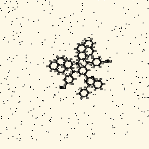 CC(C)(C)c1ccc(N2c3cc(-c4nc(-c5ccccc5)c5ccccc5n4)cc4c3B(c3cc5ccc6cccc7ccc(c32)c5c67)c2cc3ccc5cccc6ccc(c2N4c2ccc(C(C)(C)C)cc2)c3c56)cc1